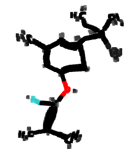 C[C](C)=[Ti]([F])[O]c1cc(C)cc([Si](C)(C)C(C)(C)C)c1